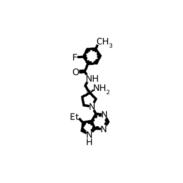 CCc1c[nH]c2ncnc(N3CC[C@](N)(CNC(=O)c4ccc(C)cc4F)C3)c12